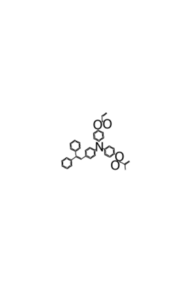 C=CC(=O)Oc1ccc(N(c2ccc(C=C(c3ccccc3)c3ccccc3)cc2)c2ccc(OC(=O)C(=C)C)cc2)cc1